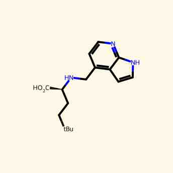 CC(C)(C)CC[C@H](NCc1ccnc2[nH]ccc12)C(=O)O